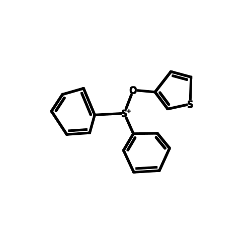 c1ccc([S+](Oc2ccsc2)c2ccccc2)cc1